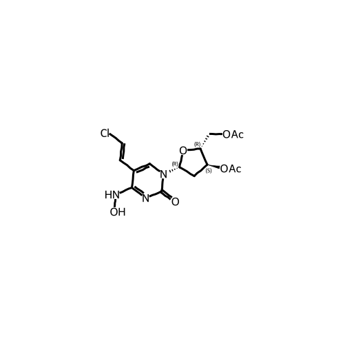 CC(=O)OC[C@H]1O[C@@H](n2cc(C=CCl)c(NO)nc2=O)C[C@@H]1OC(C)=O